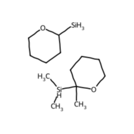 C[SiH](C)C1(C)CCCCO1.[SiH3]C1CCCCO1